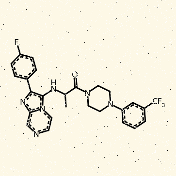 CC(Nc1c(-c2ccc(F)cc2)nc2cnccn12)C(=O)N1CCN(c2cccc(C(F)(F)F)c2)CC1